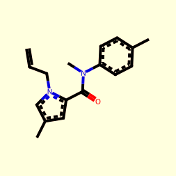 C=CCn1cc(C)cc1C(=O)N(C)c1ccc(C)cc1